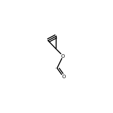 O=[C]OC1C#C1